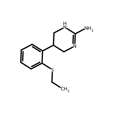 CCSc1ccccc1C1CN=C(N)NC1